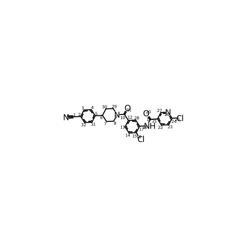 N#Cc1ccc(C2CCN(C(=O)c3ccc(Cl)c(NC(=O)c4ccc(Cl)nc4)c3)CC2)cc1